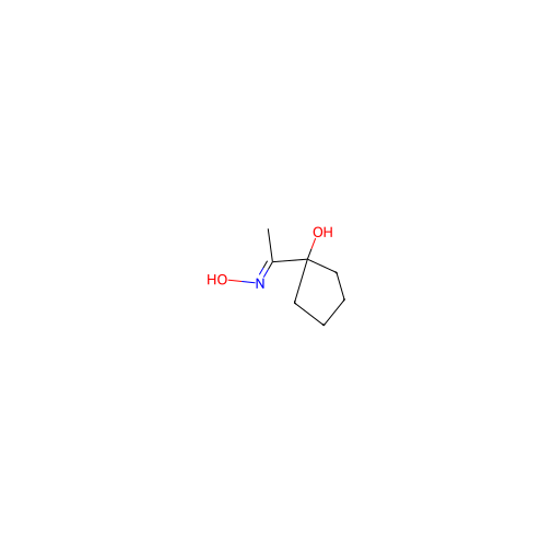 CC(=NO)C1(O)CCCC1